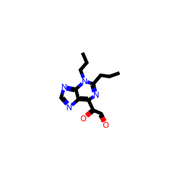 CCCc1nc(C(=O)C=O)c2ncnc-2n1CCC